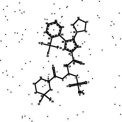 NS(=O)(=O)CC(CC(=O)N1CCCC(F)(F)C1)NC(=O)c1cc(-c2ccccc2C(F)(F)F)n(C2CCCC2)n1